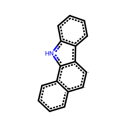 [c]1[c]c2c3ccccc3[nH]c2c2ccccc12